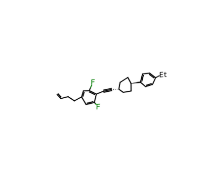 C=CCCc1cc(F)c(C#C[C@H]2CC[C@H](c3ccc(CC)cc3)CC2)c(F)c1